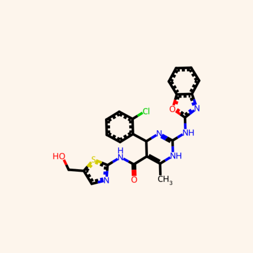 CC1=C(C(=O)Nc2ncc(CO)s2)C(c2ccccc2Cl)N=C(Nc2nc3ccccc3o2)N1